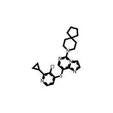 Clc1c(Sc2cnc(N3CCC4(CCCC4)CC3)n3ccnc23)ccnc1C1CC1